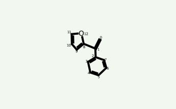 C=C(c1ccccc1)c1ccco1